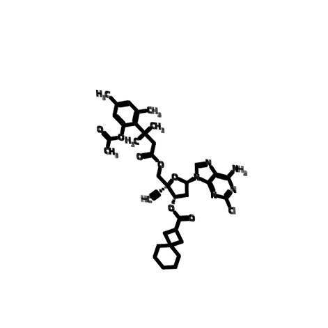 C#C[C@]1(COC(=O)CC(C)(C)c2c(C)cc(C)cc2OC(C)=O)O[C@@H](n2cnc3c(N)nc(Cl)nc32)C[C@@H]1OC(=O)C1CC2(CCCCC2)C1